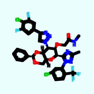 CNC(=O)CO[C@@H]1[C@@H](n2cc(-c3cc(F)c(Cl)c(F)c3)nn2)[C@H]2O[C@@H](c3ccccc3)OC[C@H]2O[C@H]1c1nc(C)nn1-c1cc(Cl)ccc1C(F)(F)F